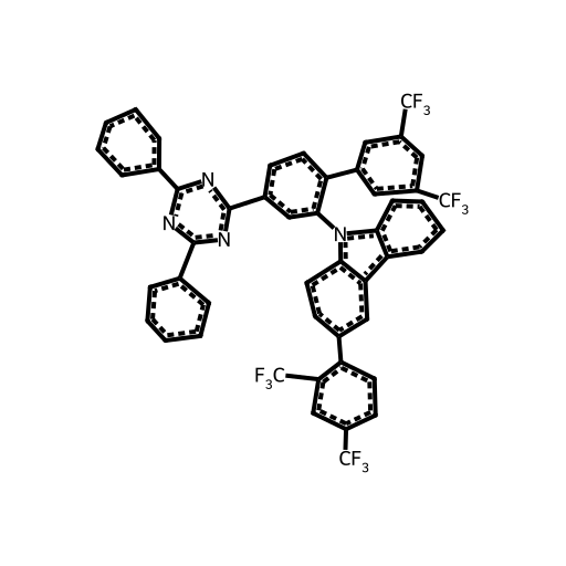 FC(F)(F)c1cc(-c2ccc(-c3nc(-c4ccccc4)nc(-c4ccccc4)n3)cc2-n2c3ccccc3c3cc(-c4ccc(C(F)(F)F)cc4C(F)(F)F)ccc32)cc(C(F)(F)F)c1